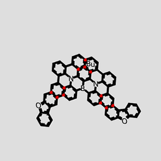 CC(C)(C)c1cc2c3c(c1)N(c1c(-c4ccccc4)cccc1-c1ccccc1)c1cc(-c4ccc5oc6ccccc6c5c4)ccc1B3c1ccc(-c3ccc4oc5ccccc5c4c3)cc1N2c1c(-c2ccccc2)cccc1-c1ccccc1